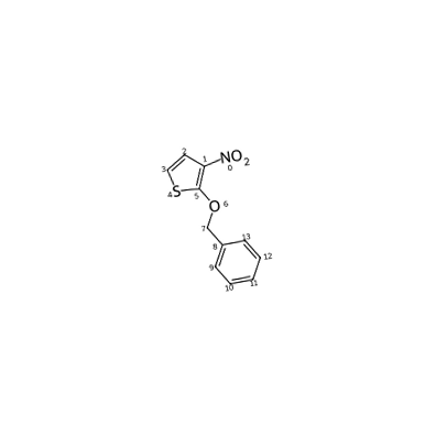 O=[N+]([O-])c1ccsc1OCc1ccccc1